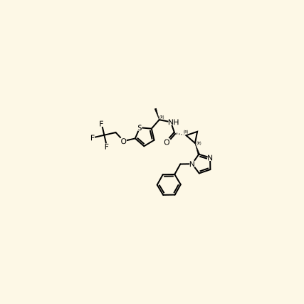 C[C@@H](NC(=O)[C@@H]1C[C@H]1c1nccn1Cc1ccccc1)c1ccc(OCC(F)(F)F)s1